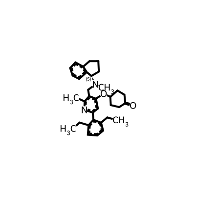 CCc1cccc(CC)c1-c1cc(OC2CCC(=O)CC2)c(CN(C)[C@H]2CCCc3ccccc32)c(C)n1